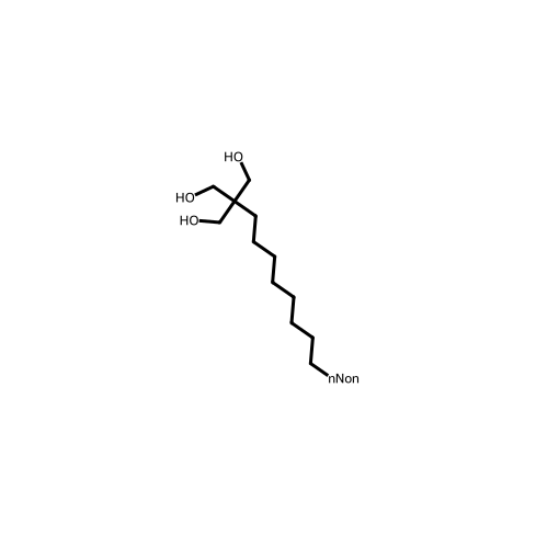 CCCCCCCCCCCCCCCCCC(CO)(CO)CO